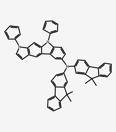 CC1(C)c2ccccc2-c2ccc(N(c3ccc4c(c3)C(C)(C)c3ccccc3-4)c3ccc4c(c3)c3cc5ccn(-c6ccccc6)c5cc3n4-c3ccccc3)cc21